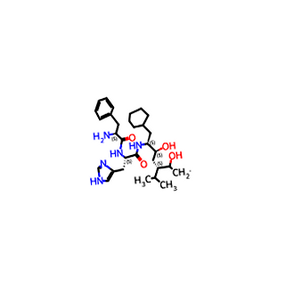 [CH2]C(O)[C@@H](C[C@H](O)[C@H](CC1CCCCC1)NC(=O)[C@H](Cc1c[nH]cn1)NC(=O)[C@@H](N)Cc1ccccc1)C(C)C